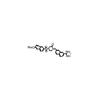 COc1ccc2cc(S(=O)(=O)N3CCN(Cc4ccc5ccc(C(=N)N)cc5c4)C(=O)C3)ccc2c1